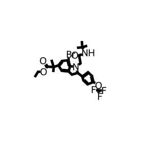 CCOC(=O)C(C)(C)c1cc(Br)c2c(c1)CC(c1ccc(OC(F)(F)F)cc1)N2CC(=O)NC(C)(C)C